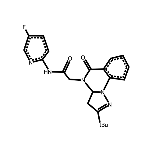 CC(C)(C)C1=NN2c3ccccc3C(=O)N(CC(=O)Nc3ccc(F)cn3)C2C1